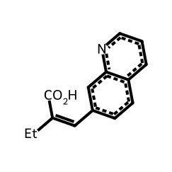 CCC(=Cc1ccc2cccnc2c1)C(=O)O